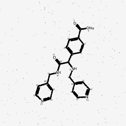 COC(=O)c1ccc(C(NCc2ccncc2)C(=O)NCc2ccncc2)cc1